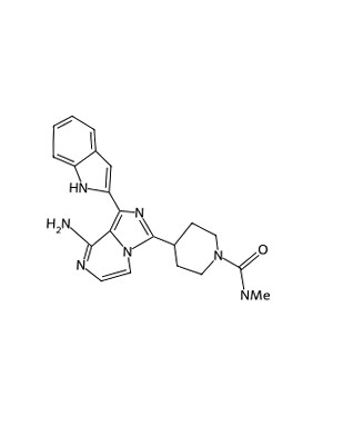 CNC(=O)N1CCC(c2nc(-c3cc4ccccc4[nH]3)c3c(N)nccn23)CC1